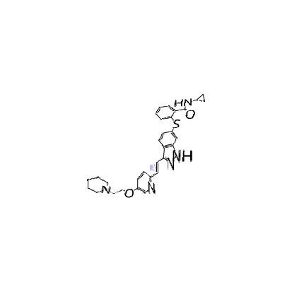 O=C(NC1CC1)c1ccccc1Sc1ccc2c(/C=C/c3ccc(OCCN4CCCCC4)cn3)n[nH]c2c1